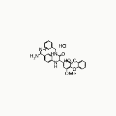 COc1cc(C(Nc2ccc(C(=N)N)cc2)C(=O)NCc2ccccc2)ccc1Oc1ccccc1C(=O)O.Cl